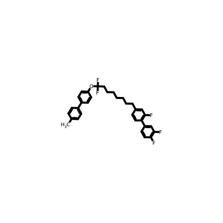 Cc1ccc(-c2ccc(OC(F)(F)CCCCCCCc3ccc(-c4ccc(F)c(F)c4)c(F)c3)cc2)cc1